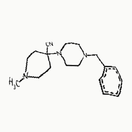 CN1CCC(C#N)(N2CCN(Cc3ccccc3)CC2)CC1